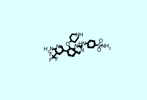 Nc1ncc(-c2ccc3cnc(Nc4ccc(S(N)(=O)=O)cc4)nc3c2OC2CCNCC2)cc1C(F)(F)F